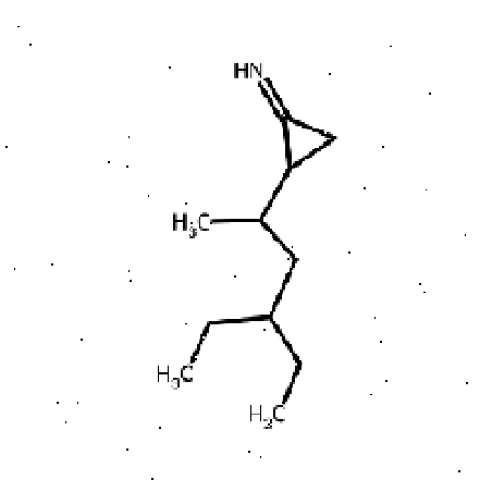 CCC(CC)CC(C)C1CC1=N